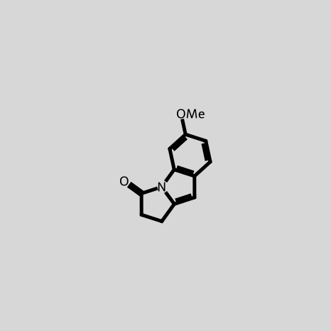 COc1ccc2cc3n(c2c1)C(=O)CC3